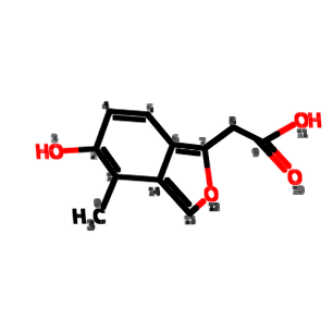 Cc1c(O)ccc2c(CC(=O)O)occ12